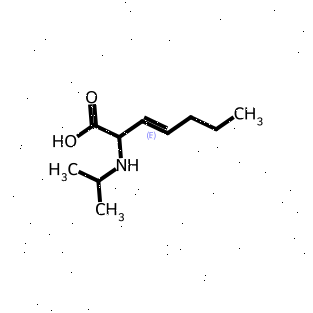 CCC/C=C/C(NC(C)C)C(=O)O